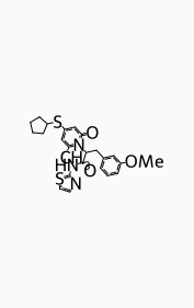 COc1cccc(CC(C(=O)Nc2nccs2)n2c(C)cc(SC3CCCC3)cc2=O)c1